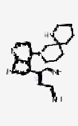 N=C/C=C(\C=N)c1c[nH]c2nccc(N3CCCC4(CCCCN4)C3)c12